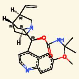 C=C[C@H]1CN2CC[C@H]1C[C@@H]2[C@@H](OC(=O)NC(C)(C)C)c1ccnc2ccc(OC)cc12